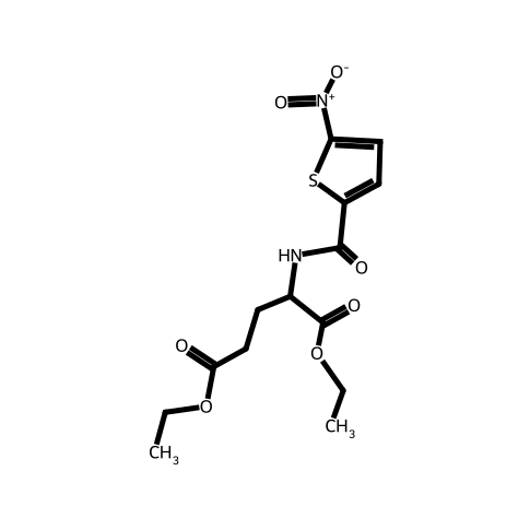 CCOC(=O)CCC(NC(=O)c1ccc([N+](=O)[O-])s1)C(=O)OCC